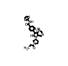 C=CC(=O)N1CC[C@@H](N2NC(c3ccc(C(=O)Nc4nccs4)cc3)=C3C2=CN=CN3N)C1